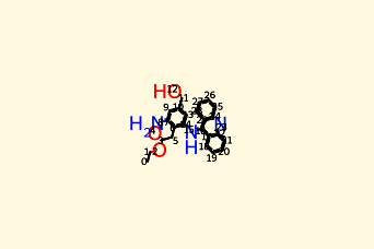 CCOC(=O)Cc1c(N)cc(CO)cc1Nc1c2ccccc2nc2ccccc12